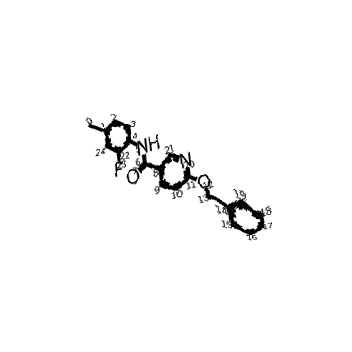 Cc1ccc(NC(=O)c2ccc(OCc3ccccc3)nc2)c(F)c1